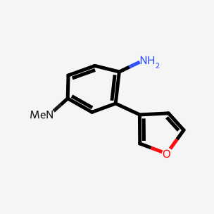 CNc1ccc(N)c(-c2ccoc2)c1